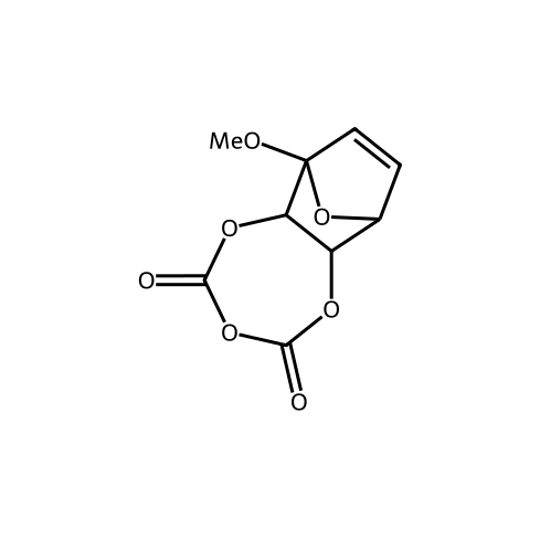 COC12C=CC(O1)C1OC(=O)OC(=O)OC12